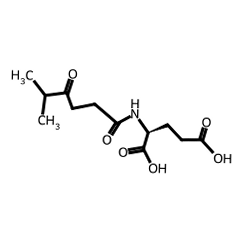 CC(C)C(=O)CCC(=O)N[C@@H](CCC(=O)O)C(=O)O